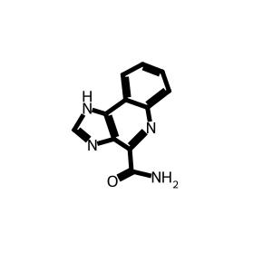 NC(=O)c1nc2ccccc2c2[nH]cnc12